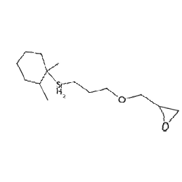 CC1CCCCC1(C)[SiH2]CCCOCC1CO1